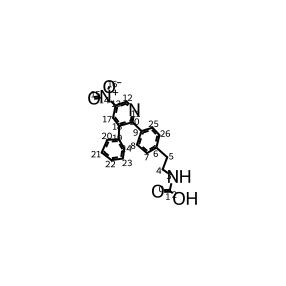 O=C(O)NCCc1ccc(-c2ncc([N+](=O)[O-])cc2-c2ccccc2)cc1